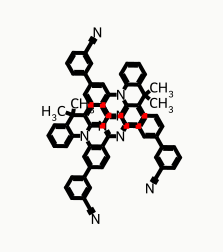 CC1(C)c2ccccc2N(c2cc(-c3cccc(C#N)c3)ccc2-c2nc(-c3cccc(-c4cccc(C#N)c4)c3)nc(-c3ccc(-c4cccc(C#N)c4)cc3N3c4ccccc4C(C)(C)c4ccccc43)n2)c2ccccc21